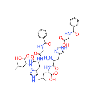 CC(C)C[C@H](NC(=O)[C@@H](N)Cc1c[nH]cn1)C(=O)O.CC(C)C[C@H](NC(=O)[C@H](Cc1c[nH]cn1)NC(=O)CNC(=O)c1ccccc1)C(=O)O.O=C(O)CNC(=O)c1ccccc1